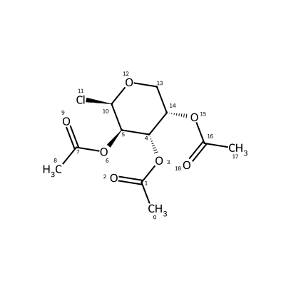 CC(=O)O[C@@H]1[C@@H](OC(C)=O)[C@@H](Cl)OC[C@@H]1OC(C)=O